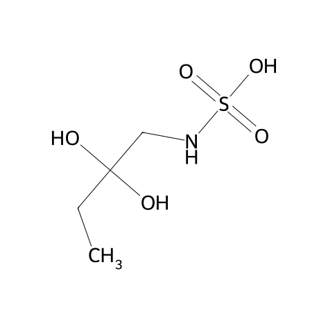 CCC(O)(O)CNS(=O)(=O)O